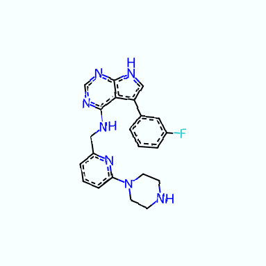 Fc1cccc(-c2c[nH]c3ncnc(NCc4cccc(N5CCNCC5)n4)c23)c1